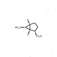 O=C(O)[C@H]1[C@@H]2CC[C@@H](C(=O)O)[C@@H]21